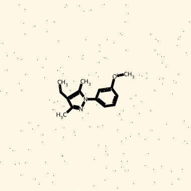 CCc1c(C)nn(-c2cccc(OC)c2)c1C